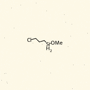 CO[SiH2]CCCCl